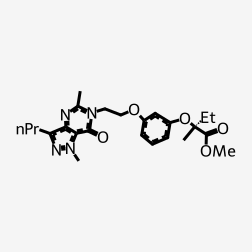 CCCc1nn(C)c2c(=O)n(CCOc3cccc(O[C@@](C)(CC)C(=O)OC)c3)c(C)nc12